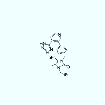 CCCc1c(C)n(CC(C)C)c(=O)n1Cc1ccc(-c2cnccc2-c2nnn[nH]2)cc1